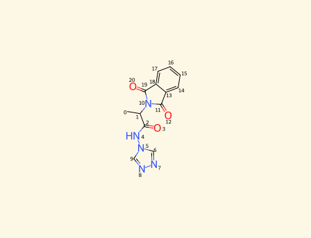 CC(C(=O)Nn1cnnc1)N1C(=O)c2ccccc2C1=O